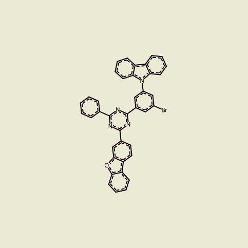 Brc1cc(-c2nc(-c3ccccc3)nc(-c3ccc4c(c3)oc3ccccc34)n2)cc(-n2c3ccccc3c3ccccc32)c1